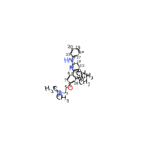 CN(C)CCOc1ccc(-c2cccc(Nc3ccccc3)n2)c(C(C)(C)C)c1